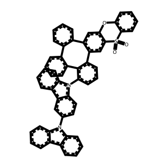 O=S1(=O)c2ccccc2Oc2cc3c(cc21)-c1cccc(-n2c4ccccc4c4cc(-n5c6ccccc6c6ccccc65)ccc42)c1-c1ccccc1-c1ccccc1-3